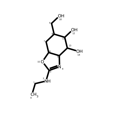 CCNC1=NC2C(CC(CO)C(O)C2O)O1